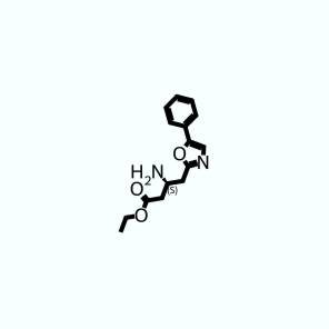 CCOC(=O)C[C@@H](N)Cc1ncc(-c2ccccc2)o1